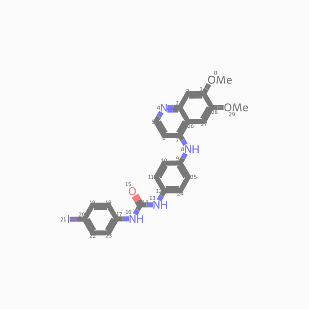 COc1cc2nccc(Nc3ccc(NC(=O)Nc4ccc(I)cc4)cc3)c2cc1OC